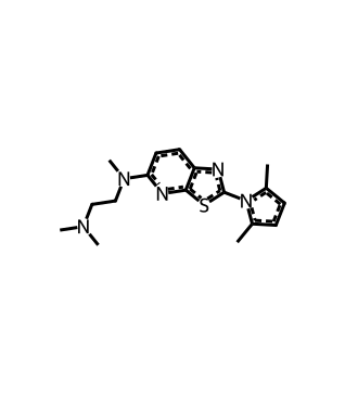 Cc1ccc(C)n1-c1nc2ccc(N(C)CCN(C)C)nc2s1